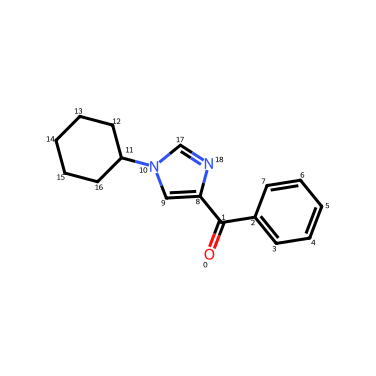 O=C(c1ccccc1)c1cn(C2CCCCC2)cn1